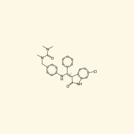 CN(C)C(=O)N(C)Cc1ccc(N/C(=C2\C(=O)Nc3cc(Cl)ccc32)c2ccccc2)cc1